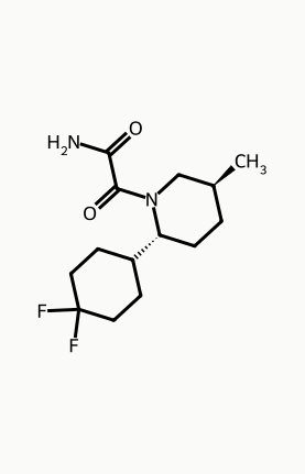 C[C@H]1CC[C@H](C2CCC(F)(F)CC2)N(C(=O)C(N)=O)C1